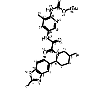 Cc1nc2cc(C3CCC(C)CN3C(=O)C(=O)Nc3cnc(NC(=O)OC(C)(C)C)c(C)c3)ccc2s1